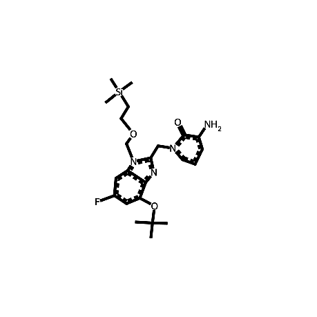 CC(C)(C)Oc1cc(F)cc2c1nc(Cn1cccc(N)c1=O)n2COCC[Si](C)(C)C